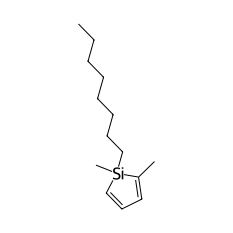 CCCCCCCC[Si]1(C)C=CC=C1C